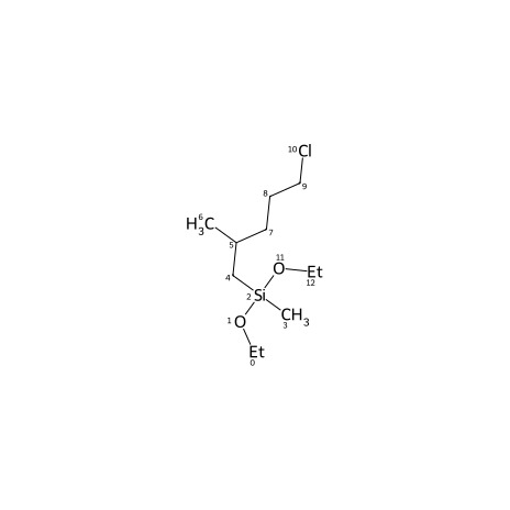 CCO[Si](C)(CC(C)CCCCl)OCC